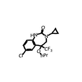 CCCOC1(C(F)(F)F)CN(C2CC2)C(=O)Nc2ccc(Cl)cc21